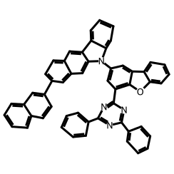 c1ccc(-c2nc(-c3ccccc3)nc(-c3cc(-n4c5ccccc5c5cc6ccc(-c7ccc8ccccc8c7)cc6cc54)cc4c3oc3ccccc34)n2)cc1